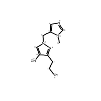 CC(C)CCc1nn(Cc2cncn2C)cc1N=O